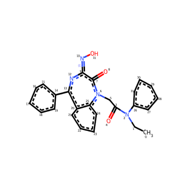 CCN(C(=O)Cn1c(=O)/c(=N\O)nc(-c2ccccc2)c2ccccc21)c1ccccc1